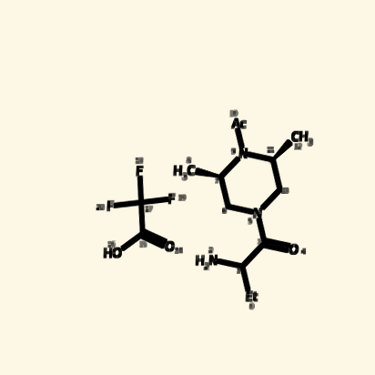 CCC(N)C(=O)N1C[C@@H](C)N(C(C)=O)[C@@H](C)C1.O=C(O)C(F)(F)F